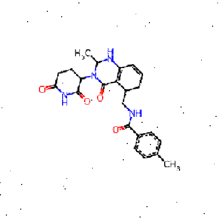 Cc1ccc(C(=O)NCC2CC=CC3=C2C(=O)N(C2CCC(=O)NC2=O)C(C)N3)cc1